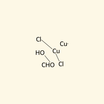 O=CO.[Cl][Cu][Cl].[Cu]